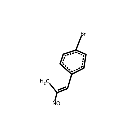 CC(=Cc1ccc(Br)cc1)N=O